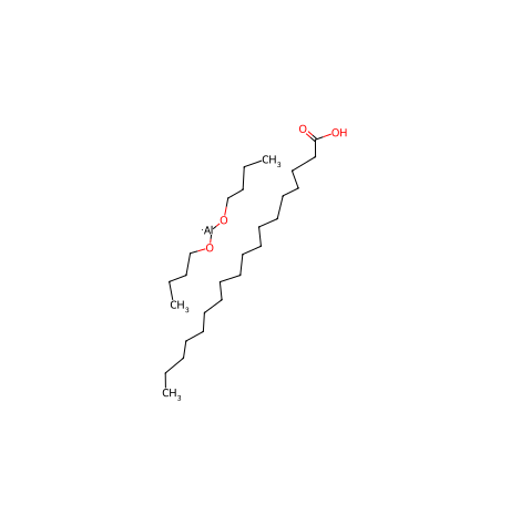 CCCCCCCCCCCCCCCCCC(=O)O.CCCC[O][Al][O]CCCC